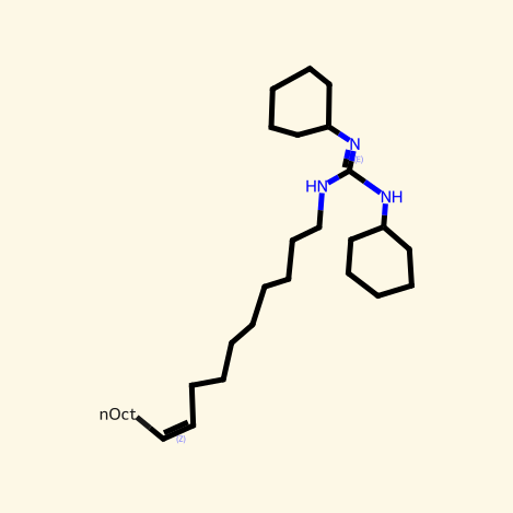 CCCCCCCC/C=C\CCCCCCCCN/C(=N\C1CCCCC1)NC1CCCCC1